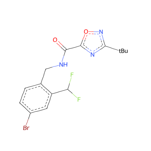 CC(C)(C)c1noc(C(=O)NCc2ccc(Br)cc2C(F)F)n1